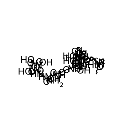 CCCCCC(=O)N[C@@H](CSCc1cccc(CSC[C@H](NC(=O)[C@H](Cc2ccccc2)NC(=O)[C@H](CCC(=O)O)NC(O)[C@@H](NC(=O)[C@@H]2CCCN2C=O)[C@@H](C)O)C(=O)N[C@@H](CC(=O)O)C(=O)NCCCNCCOCCOCCCNC(=O)CCC(O)N[C@@H](CCCCNC(=O)CN2CCN(CC(=O)O)CCN(CC(=O)O)CCN(CC(=O)O)CC2)C(N)=O)c1)C(=O)N1CCC[C@H]1C